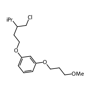 COCCCOc1cccc(OCCC(CCl)C(C)C)c1